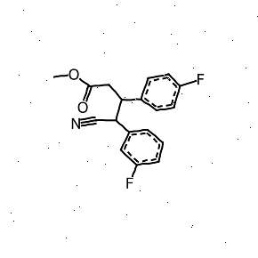 COC(=O)CC(c1ccc(F)cc1)C(C#N)c1cccc(F)c1